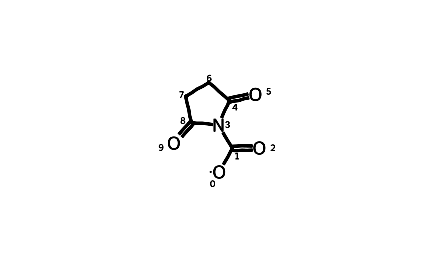 [O]C(=O)N1C(=O)CCC1=O